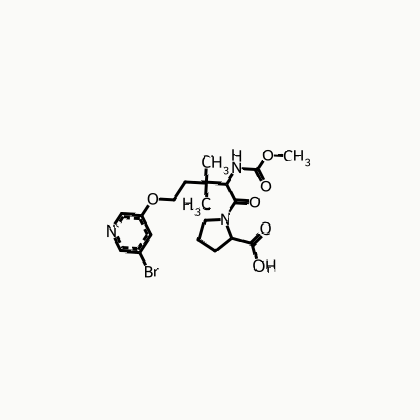 COC(=O)NC(C(=O)N1CCCC1C(=O)O)C(C)(C)CCOc1cncc(Br)c1